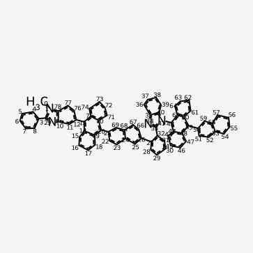 Cn1c(-c2ccccc2)nc2cc(-c3c4ccccc4c(-c4ccc5cc(-c6ccccc6-c6nc7ccccc7n6-c6c7ccccc7c(-c7ccc8ccccc8c7)c7ccccc67)ccc5c4)c4ccccc34)ccc21